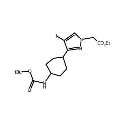 CCOC(=O)Cn1cc(I)c(C2CCC(NC(=O)OC(C)(C)C)CC2)n1